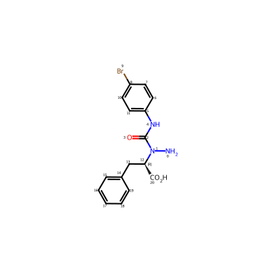 NN(C(=O)Nc1ccc(Br)cc1)[C@H](Cc1ccccc1)C(=O)O